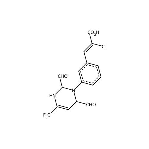 O=CC1C=C(C(F)(F)F)NC(C=O)N1c1cccc(C=C(Cl)C(=O)O)c1